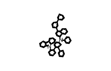 c1ccc(-c2cccc(-c3ccc(N(c4ccccc4)c4ccc(-c5ccccc5-n5c6ccccc6c6ccccc65)c(-c5ccccc5)c4)c4ccccc34)c2)cc1